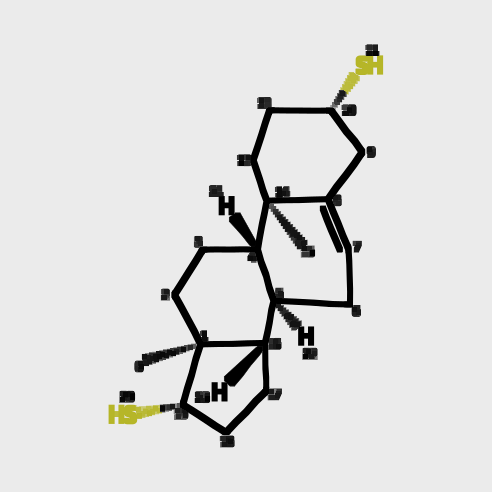 C[C@]12CC[C@H]3[C@@H](CC=C4C[C@@H](S)CC[C@@]43C)[C@@H]1CC[C@@H]2S